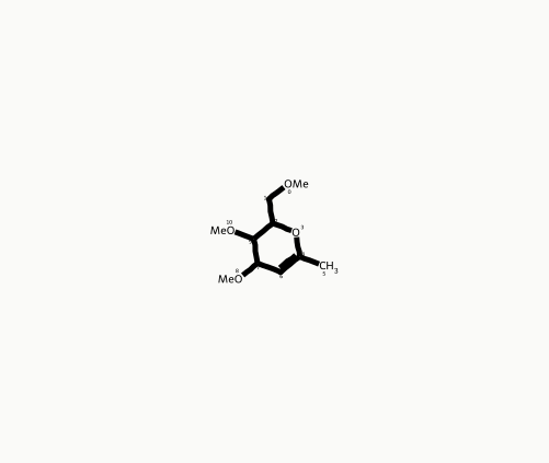 COCC1OC(C)=CC(OC)C1OC